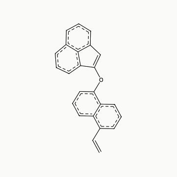 C=Cc1cccc2c(OC3=Cc4cccc5cccc3c45)cccc12